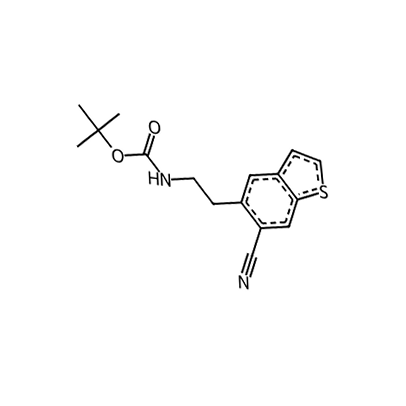 CC(C)(C)OC(=O)NCCc1cc2ccsc2cc1C#N